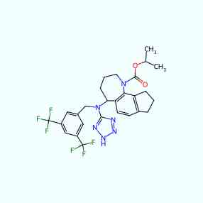 CC(C)OC(=O)N1CCCC(N(Cc2cc(C(F)(F)F)cc(C(F)(F)F)c2)c2nn[nH]n2)c2ccc3c(c21)CCC3